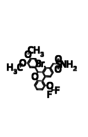 COc1ccc(C2Oc3cccc(OC(F)F)c3-c3ccc(CS(N)(=O)=O)c(Br)c32)cc1OC